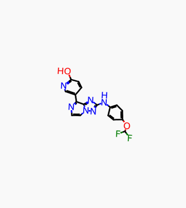 Oc1ccc(-c2nccn3nc(Nc4ccc(OC(F)F)cc4)nc23)cn1